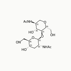 CC(=O)N[C@H]1CO[C@H](CO)[C@@H](O[C@@H]2O[C@H](CN=O)[C@@H](O)C[C@H]2NC(C)=O)[C@@H]1O